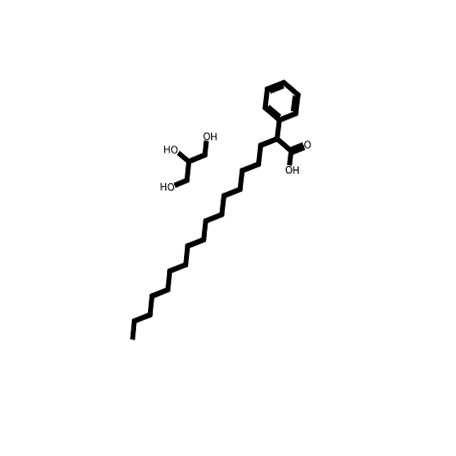 CCCCCCCCCCCCCCCCC(C(=O)O)c1ccccc1.OCC(O)CO